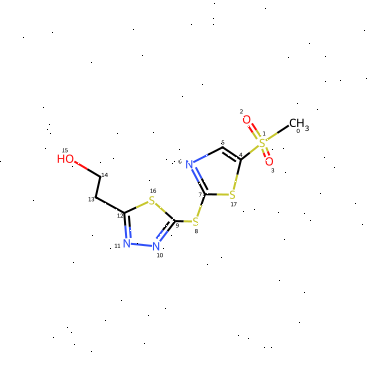 CS(=O)(=O)c1cnc(Sc2nnc(CCO)s2)s1